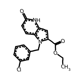 CCOC(=O)c1cc2[nH]c(=O)ccc2n1Cc1cccc(Cl)c1